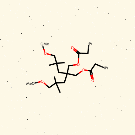 COOCC(C)(C)CC(COC(=O)CC(C)C)(COC(=O)CC(C)C)CC(C)(C)COOC